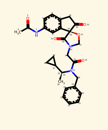 CC(=O)Nc1ccc2c(c1)[C@]1(OCN(CC(=O)N(Cc3ccccc3)[C@@H](C)C3CC3)C1=O)C(=O)C2